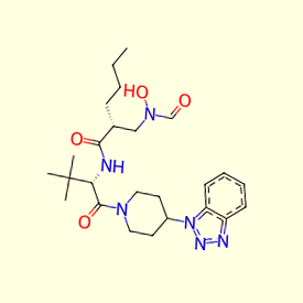 CCCC[C@H](CN(O)C=O)C(=O)N[C@H](C(=O)N1CCC(n2nnc3ccccc32)CC1)C(C)(C)C